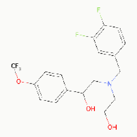 OCCN(Cc1ccc(F)c(F)c1)CC(O)c1ccc(OC(F)(F)F)cc1